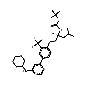 CC(C)C[C@@](C)(COc1ccc(-c2cc(NC3CCCOC3)ncn2)cc1C(F)(F)F)NC(=O)OC(C)(C)C